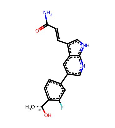 C[C@@H](O)c1ccc(-c2cnc3[nH]cc(C=CC(N)=O)c3c2)cc1F